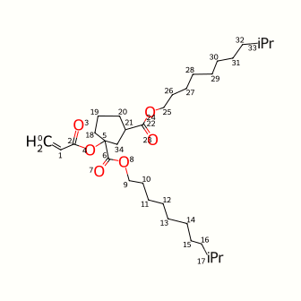 C=CC(=O)OC1(C(=O)OCCCCCCCCC(C)C)CCCC(C(=O)OCCCCCCCCC(C)C)C1